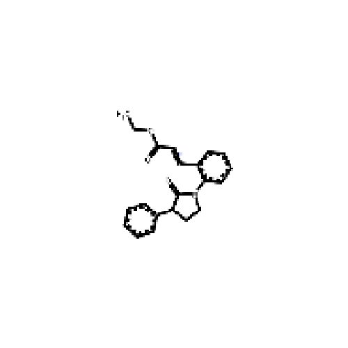 CCOC(=O)/C=C/c1ccccc1N1CCC(c2ccccc2)C1=O